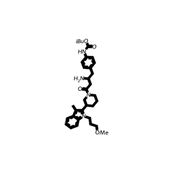 COCCCn1c(C2CCCN(C(=O)CC(N)Cc3ccc(NC(=O)OCC(C)C)cc3)C2)c(C)c2ccccc21